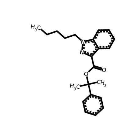 CCCCCn1nc(C(=O)OC(C)(C)c2ccccc2)c2ccccc21